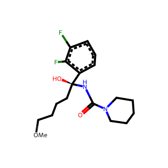 COCCCC[C@@](O)(NC(=O)N1CCCCC1)c1cccc(F)c1F